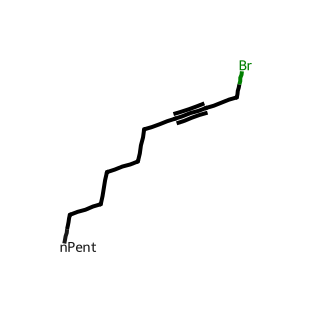 CCCCCCCCCCC#CCBr